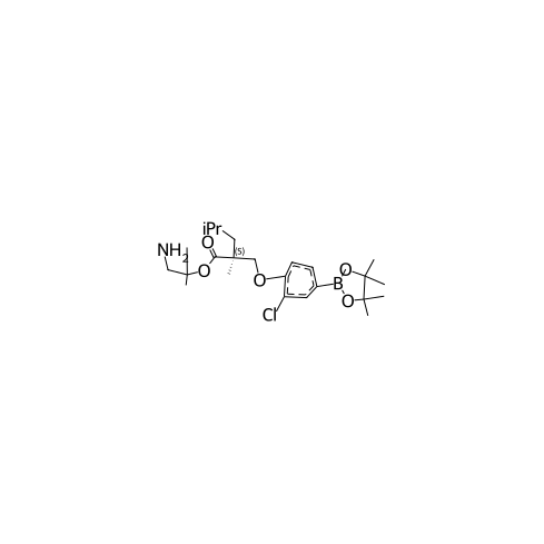 CC(C)C[C@@](C)(COc1ccc(B2OC(C)(C)C(C)(C)O2)cc1Cl)C(=O)OC(C)(C)CN